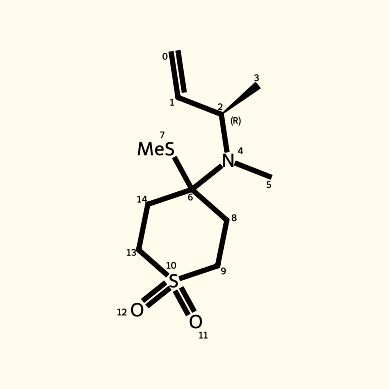 C=C[C@@H](C)N(C)C1(SC)CCS(=O)(=O)CC1